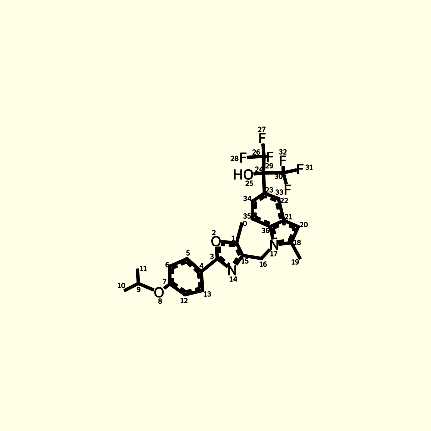 Cc1oc(-c2ccc(OC(C)C)cc2)nc1Cn1c(C)cc2cc(C(O)(C(F)(F)F)C(F)(F)F)ccc21